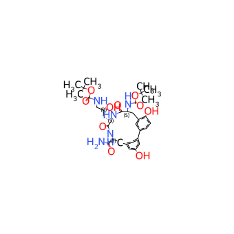 CC(C)(C)OC(=O)NC[C@H](O)C[C@@H]1NC(=O)[C@@H](NC(=O)OC(C)(C)C)Cc2cc(ccc2O)-c2cc(O)cc(c2)C[C@@H](C(N)=O)NC1=O